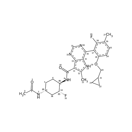 CC(=O)N[C@@H]1CC[C@@H](NC(=O)c2c(C)[nH]c3c(-c4c(OCC5CC5)ccc(C)c4F)ncnc23)[C@H](F)C1